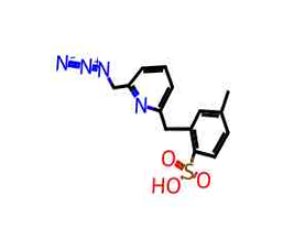 Cc1ccc(S(=O)(=O)O)c(Cc2cccc(CN=[N+]=[N-])n2)c1